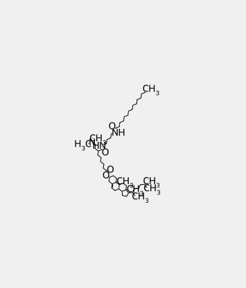 CCCCCCCCCCCCCCC(=O)NCCCCNC(=O)C(CCCCCC(=O)OC1CCC2(C)C(=CCC3C2CCC2(C)C(C(C)CCCC(C)C)CCC32)C1)CCN(C)C